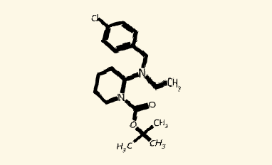 CCN(Cc1ccc(Cl)cc1)C1CCCCN1C(=O)OC(C)(C)C